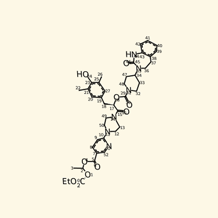 CCOC(=O)OC(C)OC(=O)c1ccc(N2CCN(C(=O)[C@@H](Cc3cc(C)c(O)c(C)c3)OC(=O)N3CCC(N4CCc5ccccc5NC4=O)CC3)CC2)nc1